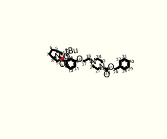 CC(C)(C)OC(=O)N1C2CCC1CN(c1cccc(OCCN3CCN(C(=O)OCc4ccccc4)CC3)c1)C2